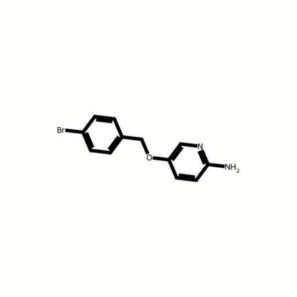 Nc1ccc(OCc2ccc(Br)cc2)cn1